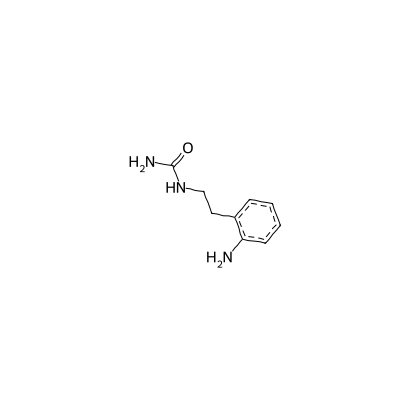 NC(=O)NCCc1ccccc1N